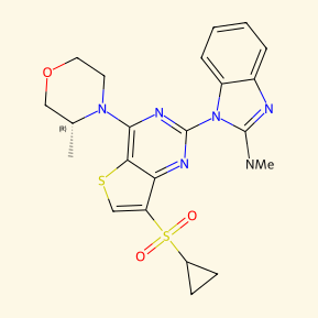 CNc1nc2ccccc2n1-c1nc(N2CCOC[C@H]2C)c2scc(S(=O)(=O)C3CC3)c2n1